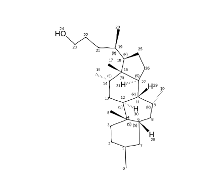 CC1CC[C@@]2(C)[C@@H](C1)C[C@@H](C)[C@@H]1[C@@H]2C[C@H](C)[C@]2(C)[C@@H]([C@H](C)CCCO)CC[C@@H]12